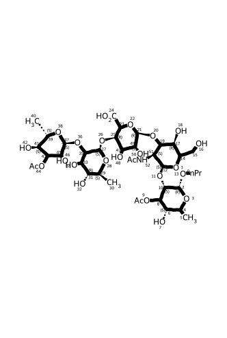 CCCO[C@@H]1OC(C)[C@H](O)C(OC(C)=O)[C@@H]1O[C@@H]1OC(CO)[C@H](O)C(O[C@@H]2OC(C(=O)O)[C@H](O[C@@H]3O[C@@H](C)[C@H](O)C(O)C3O[C@@H]3O[C@@H](C)[C@H](O)C(OC(C)=O)C3O)C(O)[C@@H]2O)[C@@H]1NC(C)=O